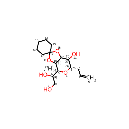 C=CC[C@@H]1O[C@@H]([C@H](O)CO)[C@H]2OC3(CCCCC3)OC2[C@H]1O